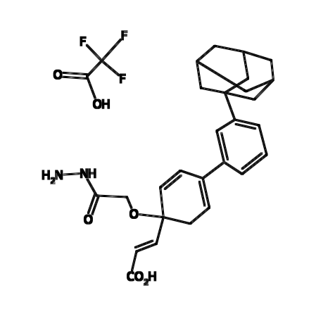 NNC(=O)COC1(C=CC(=O)O)C=CC(c2cccc(C34CC5CC(CC(C5)C3)C4)c2)=CC1.O=C(O)C(F)(F)F